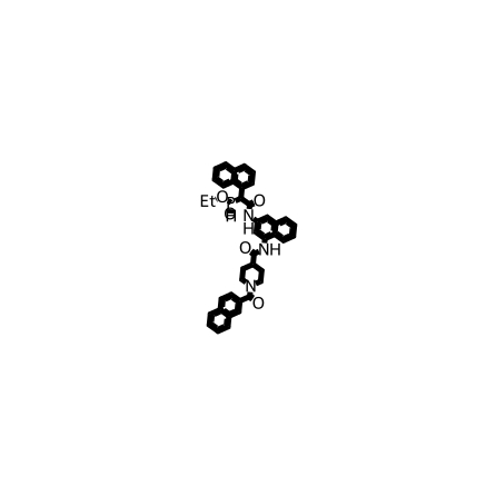 CCO[PH](=O)C(C(=O)Nc1cc(NC(=O)C2CCN(C(=O)c3ccc4ccccc4c3)CC2)c2ccccc2c1)c1cccc2ccccc12